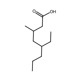 CCCC(CC)CC(C)CC(=O)O